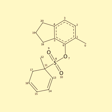 Cc1ccc2c(c1OS(=O)(=O)C1(C)C=CC=CC1)CCC2